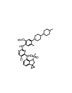 COc1cc(N2CCC(N3CCN(C)CC3)CC2)c(C)cc1Nc1ncc(Cl)c(Nc2cccc3c2N(S(C)(=O)=O)CC32CC2)n1